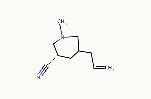 C=CCC1C[C@H](C#N)CN(C)C1